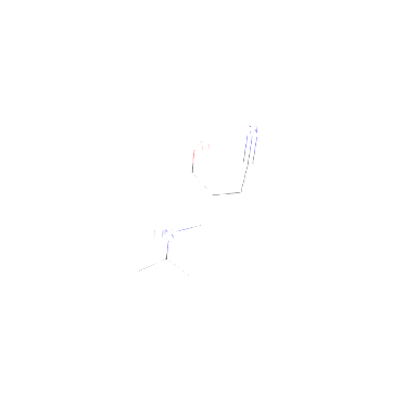 CC(C)NC[C@H](CO)CC#N